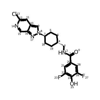 O=C(NC[C@H]1CC[C@H](n2cc3cc(Cl)ncc3n2)CC1)c1cc(F)c(O)c(F)c1